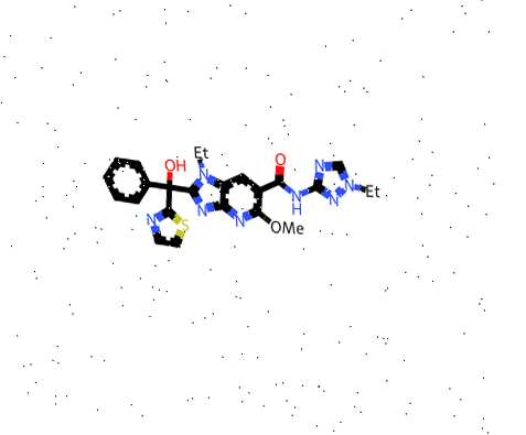 CCn1cnc(NC(=O)c2cc3c(nc2OC)nc(C(O)(c2ccccc2)c2nccs2)n3CC)n1